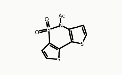 CC(=O)N1c2ccsc2-c2sccc2S1(=O)=O